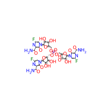 NC(=O)c1nc(F)cn([C@@H]2O[C@H](COP(=O)(OC[C@H]3O[C@@H](n4cc(F)nc(C(N)=O)c4=O)[C@H](O)[C@@H]3O)OC[C@H]3O[C@@H](n4cc(F)nc(C(N)=O)c4=O)[C@H](O)[C@@H]3O)[C@@H](O)[C@H]2O)c1=O